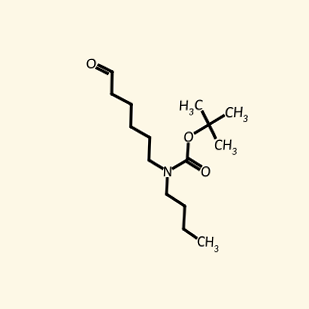 CCCCN(CCCCCC=O)C(=O)OC(C)(C)C